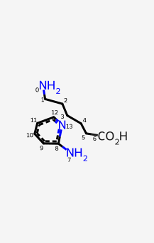 NCCCCCC(=O)O.Nc1ccccn1